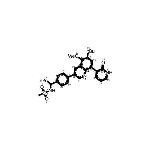 CCCC(NS(C)(=O)=O)c1ccc(-c2cnc3c(-c4ccc[nH]c4=O)cc(C(C)(C)C)c(OC)c3c2)cc1